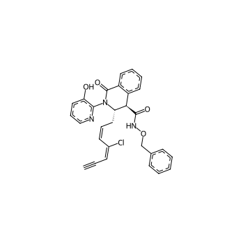 C#C/C=C(Cl)\C=C/C[C@H]1[C@H](C(=O)NOCc2ccccc2)c2ccccc2C(=O)N1c1ncccc1O